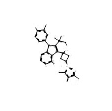 Cc1cc(C2C3=C(c4c(O)cccc42)C2(CC(n4nc(C)c(C(=O)O)c4C)C2)OCC3(C)C)ccc1F